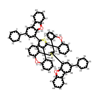 c1ccc(-c2cc(-c3cc4c(s3)C3(c5ccccc5Oc5ccccc53)c3cc(-c5cc(-c6ccccc6)cc6c5oc5ccccc56)sc3C43c4ccccc4Oc4ccccc43)c3oc4ccccc4c3c2)cc1